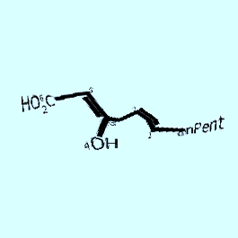 CCCCCC=CC(O)=CC(=O)O